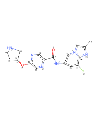 Cc1cn2cc(NC(=O)c3cnc(O[C@H]4CCNC4)cn3)cc(F)c2n1